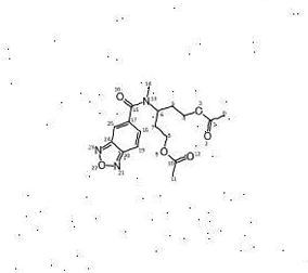 CC(=O)OCCC(CCOC(C)=O)N(C)C(=O)c1ccc2nonc2c1